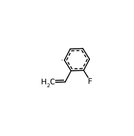 C=Cc1[c]cccc1F